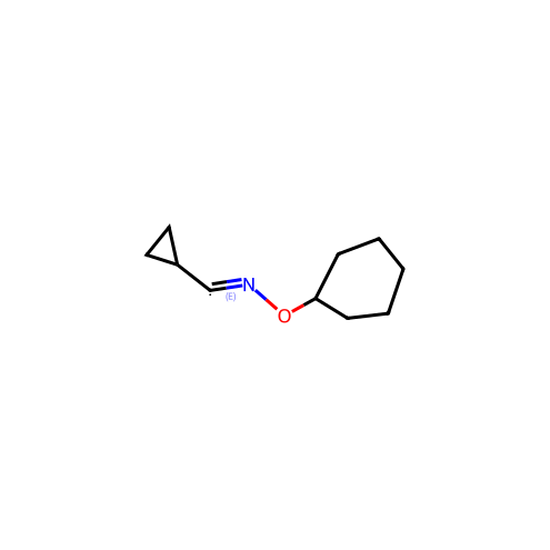 [C](=N\OC1CCCCC1)/C1CC1